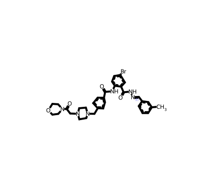 Cc1cccc(/C=N/NC(=O)c2cc(Br)ccc2NC(=O)c2ccc(CN3CCN(CC(=O)N4CCOCC4)CC3)cc2)c1